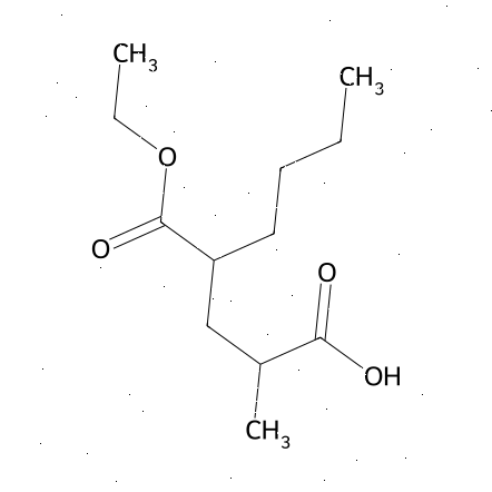 CCCCC(CC(C)C(=O)O)C(=O)OCC